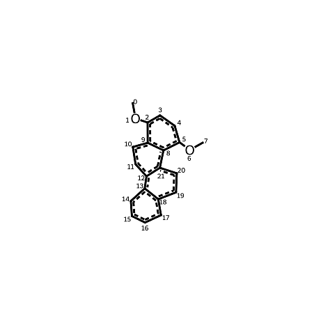 COc1ccc(OC)c2c1ccc1c3ccccc3ccc12